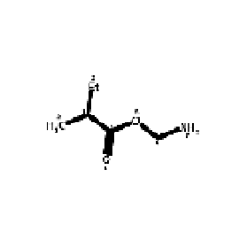 CCC(C)C(=O)OCN